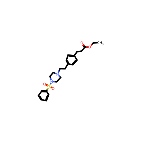 CCOC(=O)CCc1ccc(CCN2CCN(S(=O)(=O)c3ccccc3)CC2)cc1